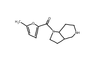 Cc1ccc(C(=O)N2CCC3CNCCC32)o1